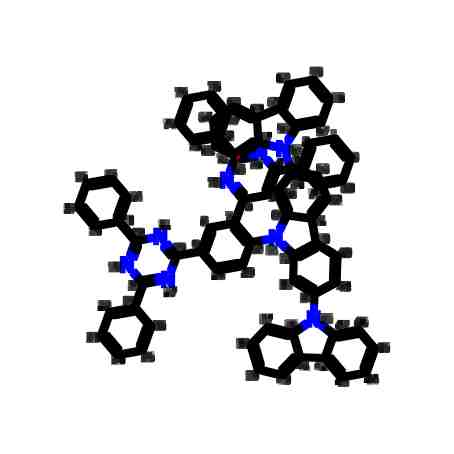 c1ccc(-c2cc(-c3cc(-c4nc(-c5ccccc5)nc(-c5ccccc5)n4)ccc3-n3c4cc(-n5c6ccccc6c6ccccc65)ccc4c4ccc(-n5c6ccccc6c6ccccc65)cc43)nc(-c3ccccc3)n2)cc1